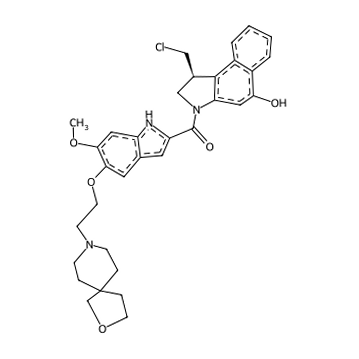 COc1cc2[nH]c(C(=O)N3C[C@@H](CCl)c4c3cc(O)c3ccccc43)cc2cc1OCCN1CCC2(CCOC2)CC1